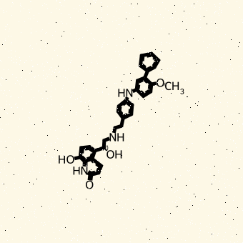 COc1ccc(Nc2ccc(CCNC[C@H](O)c3ccc(O)c4[nH]c(=O)ccc34)cc2)cc1-c1ccccc1